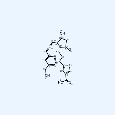 O=C(O)c1csc(CCC[C@@H]2[C@@H](C=C=Cc3cccc(CO)c3)[C@H](O)C[C@H]2Cl)c1